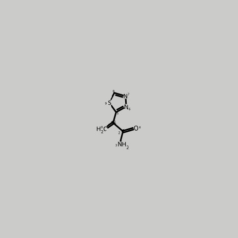 C=C(C(N)=O)c1nncs1